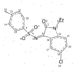 CCN1C(=O)/C(=N\S(=O)(=O)c2ccc(C)cc2)c2cc(Cl)ccc21